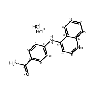 Cl.Cl.NC(=O)c1ccc(Nc2ccnc3ccccc23)cc1